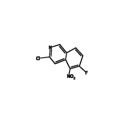 O=[N+]([O-])c1c(F)ccc2cnc(Cl)cc12